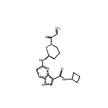 C=CC(=O)N1CCCC(Nc2cnc3[nH]cc(C(=O)NC4CCC4)c3n2)C1